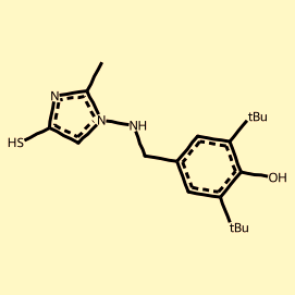 Cc1nc(S)cn1NCc1cc(C(C)(C)C)c(O)c(C(C)(C)C)c1